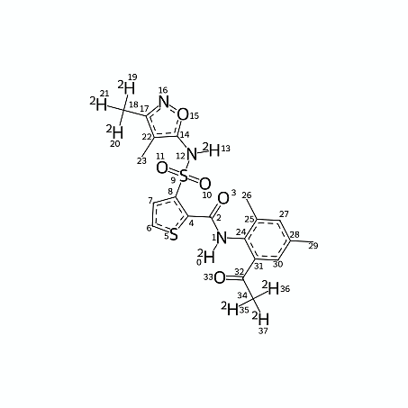 [2H]N(C(=O)c1sccc1S(=O)(=O)N([2H])c1onc(C([2H])([2H])[2H])c1C)c1c(C)cc(C)cc1C(=O)C([2H])([2H])[2H]